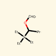 CC[Si](CC)(CC)C(O[C]=O)[C](C)C